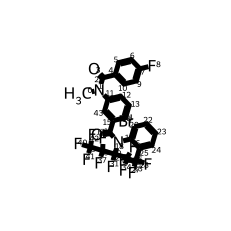 CN(C(=O)c1ccc(F)cc1)c1cccc(C(=O)N(c2c(Br)cccc2C(F)(F)F)C(F)(C(F)(F)F)C(F)(F)C(F)(F)F)c1